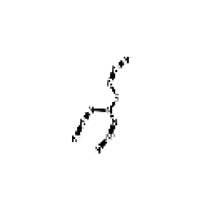 [N-]=[N+]=NSN(N=[N+]=[N-])N=[N+]=[N-]